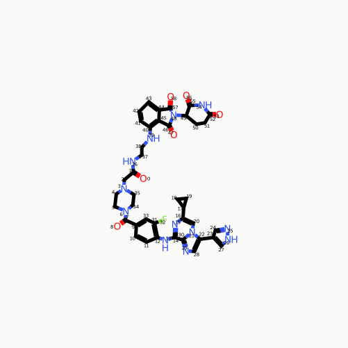 O=C(CN1CCN(C(=O)c2ccc(Nc3nc(C4CC4)cn4c(-c5cn[nH]c5)cnc34)c(F)c2)CC1)NCCNc1cccc2c1C(=O)N(C1CCC(=O)NC1=O)C2=O